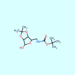 CC(C)(C)OC(=O)NCC1OC(O)C2OC(C)(C)OC12